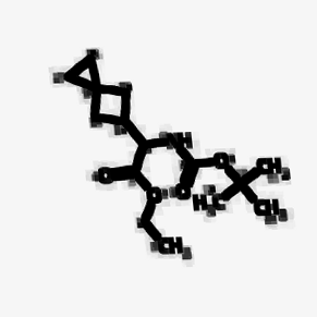 CCOC(=O)C(NC(=O)OC(C)(C)C)C1CC2(CC2)C1